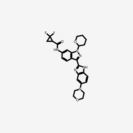 O=C(Nc1ccc2c(-c3nc4cc(N5CCOCC5)ccc4[nH]3)nn(C3CCCCO3)c2c1)C1CC1(F)F